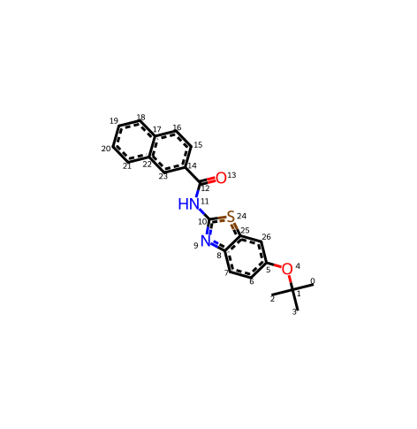 CC(C)(C)Oc1ccc2nc(NC(=O)c3ccc4ccccc4c3)sc2c1